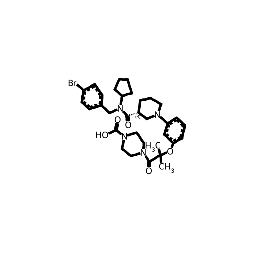 CC(C)(Oc1cccc(N2CCC[C@@H](C(=O)N(Cc3ccc(Br)cc3)C3CCCC3)C2)c1)C(=O)N1CCN(C(=O)O)CC1